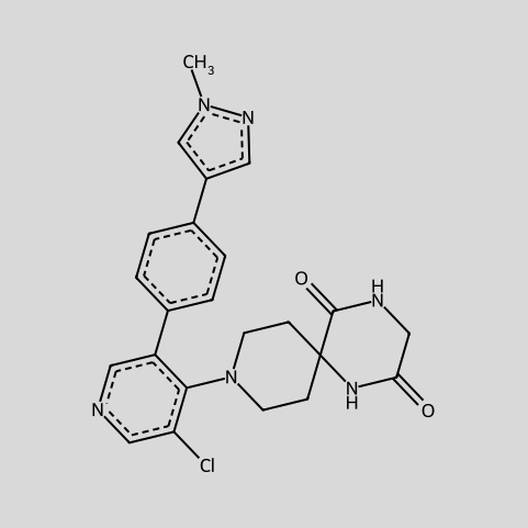 Cn1cc(-c2ccc(-c3cncc(Cl)c3N3CCC4(CC3)NC(=O)CNC4=O)cc2)cn1